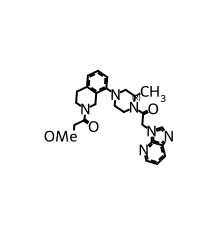 COCC(=O)N1CCc2cccc(N3CCN(C(=O)Cn4cnc5cccnc54)[C@H](C)C3)c2C1